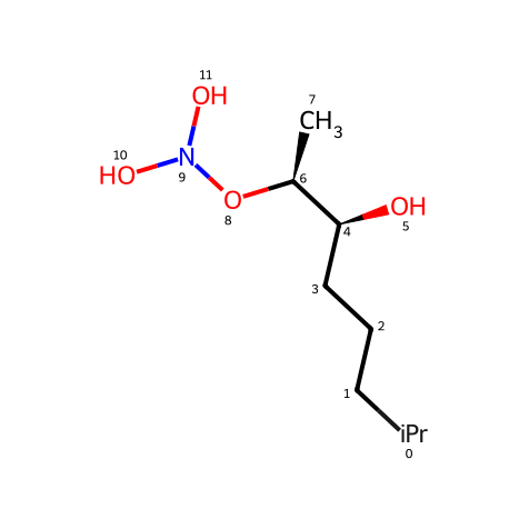 CC(C)CCC[C@H](O)[C@H](C)ON(O)O